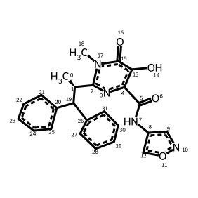 C[C@@H](c1nc(C(=O)Nc2cnoc2)c(O)c(=O)n1C)C(c1ccccc1)c1ccccc1